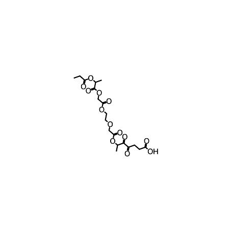 CCC(=O)OC(C)C(=O)OCC(=O)OCCOCC(=O)OC(C)C(=O)C(=O)CCC(=O)O